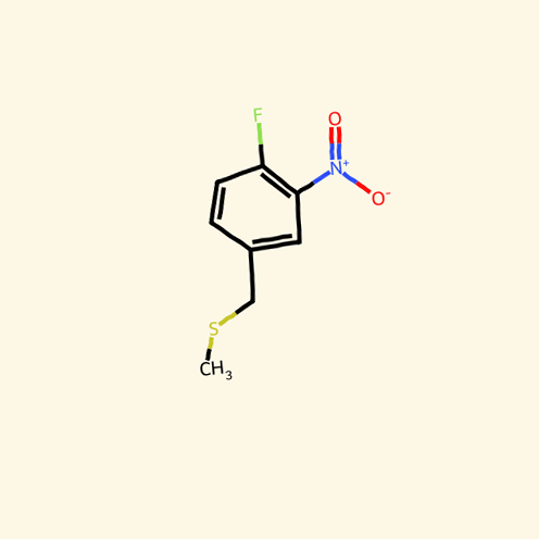 CSCc1ccc(F)c([N+](=O)[O-])c1